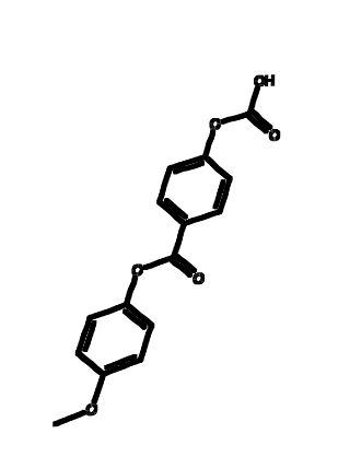 COc1ccc(OC(=O)c2ccc(OC(=O)O)cc2)cc1